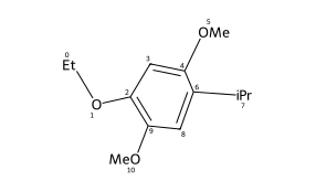 CCOc1cc(OC)c(C(C)C)cc1OC